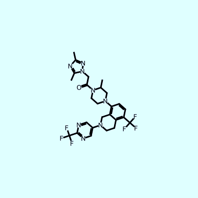 Cc1nc(C)n(CC(=O)N2CCN(c3ccc(C(F)(F)F)c4c3CN(c3cnc(C(F)(F)F)nc3)CC4)CC2C)n1